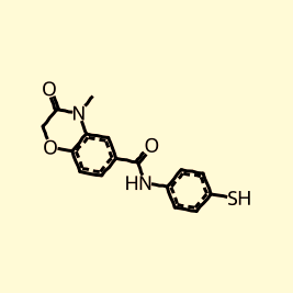 CN1C(=O)COc2ccc(C(=O)Nc3ccc(S)cc3)cc21